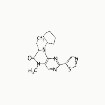 CCC1C(=O)N(C)c2cnc(-c3cncs3)nc2N1C1CCCC1